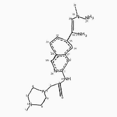 C=C(CN1CCN(C)CC1)Nc1cc2cc(/C(N)=C/N(C)N)ccc2cn1